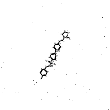 Cc1ccc(CNS(=O)(=O)c2ccc(-c3ccc(CCN4CCCC4C)cc3)cc2)cc1